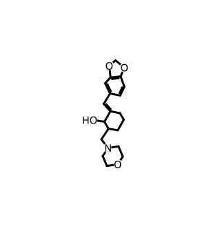 OC1/C(=C/c2ccc3c(c2)OCO3)CCCC1CN1CCOCC1